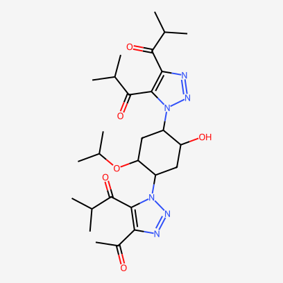 CC(=O)c1nnn(C2CC(O)C(n3nnc(C(=O)C(C)C)c3C(=O)C(C)C)CC2OC(C)C)c1C(=O)C(C)C